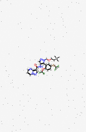 C[Si](C)(C)CCOCn1ncc(NC(=O)c2cnn3cccnc23)c1-c1cc(SC(F)F)ccc1OC(F)F